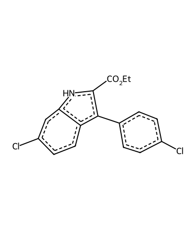 CCOC(=O)c1[nH]c2cc(Cl)ccc2c1-c1ccc(Cl)cc1